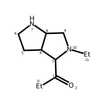 CCC(=O)C1C2CCNC2CN1CC